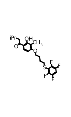 Cc1c(OCCCCSc2c(F)c(F)cc(F)c2F)ccc(C(=O)CC(C)C)c1O